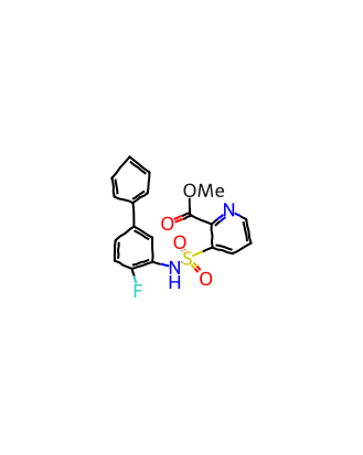 COC(=O)c1ncccc1S(=O)(=O)Nc1cc(-c2ccccc2)ccc1F